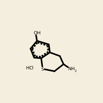 Cl.NC1CSc2ccc(O)cc2C1